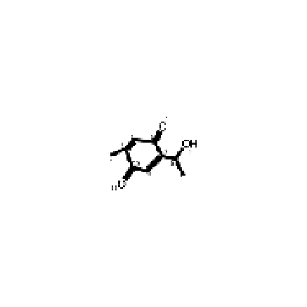 CC1=CC(=O)C(C(C)O)=CC1=O